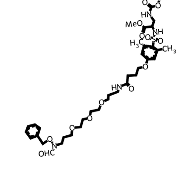 COC(=O)C(CNC(=O)OC(C)(C)C)NS(=O)(=O)c1c(C)cc(OCCCC(=O)NCCCOCCOCCOCCCN(C=O)OCc2ccccc2)cc1C